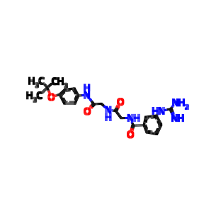 CC(C)(C)Oc1ccc(NC(=O)CNC(=O)CNC(=O)c2cccc(NC(=N)N)c2)cc1